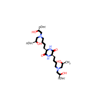 CCCCCCCCCC[C@@H](O)CN(CCCC[C@H]1NC(=O)[C@@H](CCCCN(C[C@@H](O)CCCCCCCCCC)C[C@H](C)O)NC1=O)C[C@@H](O)CCCCCCCCCC